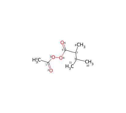 CC(=O)OOC(=O)C(C)C(C)C